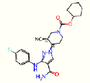 N#C[C@H]1CN(C(=O)OC2CCCCC2)CC[C@H]1n1cc(C(N)=O)c(Nc2ccc(F)cc2)n1